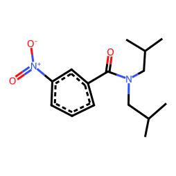 CC(C)CN(CC(C)C)C(=O)c1cccc([N+](=O)[O-])c1